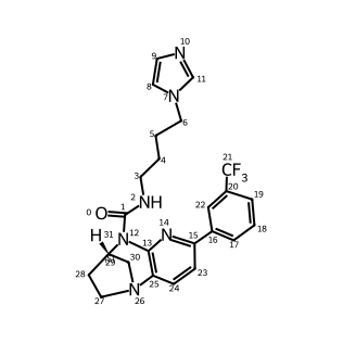 O=C(NCCCCn1ccnc1)N1c2nc(-c3cccc(C(F)(F)F)c3)ccc2N2CC[C@H]1C2